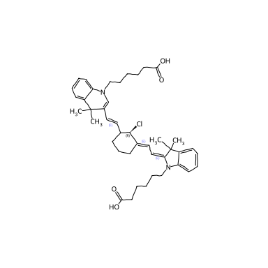 CC1(C)C(/C=C/C2CCC/C(=C\C=C3\N(CCCCCC(=O)O)c4ccccc4C3(C)C)[C@@H]2Cl)=CN(CCCCCC(=O)O)c2ccccc21